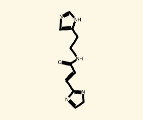 O=C(C=CC1=NCC=N1)NCCc1cnc[nH]1